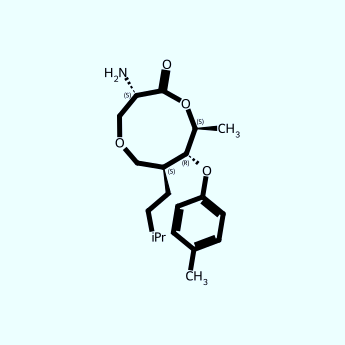 Cc1ccc(O[C@@H]2[C@@H](CCC(C)C)COC[C@H](N)C(=O)O[C@H]2C)cc1